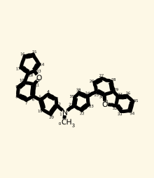 CN(c1ccc(-c2cccc3c2oc2ccccc23)cc1)c1ccc(-c2cccc3c2oc2ccccc23)cc1